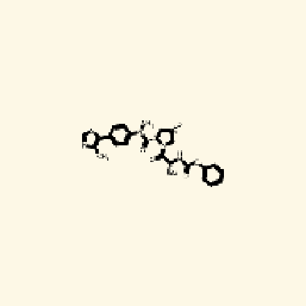 Cc1ncsc1-c1ccc(N(C)C(=O)[C@@H]2C[C@@H](O)CN2C(=O)[C@@H](NC(=O)Oc2ccccc2)C(C)(C)C)cc1